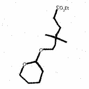 CCOC(=O)CCC(C)(C)COC1CCCCO1